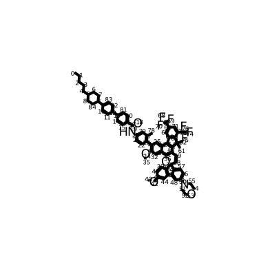 CCCCCC1CCC(c2ccc(-c3ccc(C(=O)Nc4ccc(-c5cc6c7c(c8c(c6cc5OC)OC(c5ccc(OC)cc5)(c5ccc(N6CCOCC6)cc5)C=C8)C(C)(C)c5c-7cc(C(F)(F)F)cc5C(F)(F)F)c(C)c4)cc3)cc2)CC1